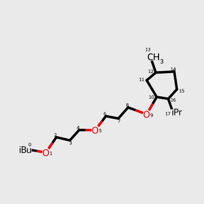 CCC(C)OCCCOCCCOC1CC(C)CCC1C(C)C